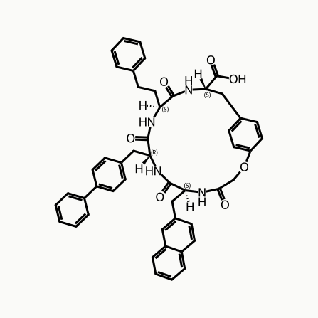 O=C1COc2ccc(cc2)C[C@@H](C(=O)O)NC(=O)[C@H](CCc2ccccc2)NC(=O)[C@@H](Cc2ccc(-c3ccccc3)cc2)NC(=O)[C@H](Cc2ccc3ccccc3c2)N1